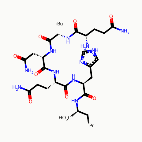 CC[C@H](C)[C@H](NC(=O)[C@@H](N)CCC(N)=O)C(=O)N[C@@H](CC(N)=O)C(=O)N[C@@H](CCC(N)=O)C(=O)N[C@@H](Cc1c[nH]cn1)C(=O)N[C@@H](CC(C)C)C(=O)O